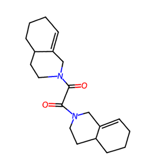 O=C(C(=O)N1CCC2CCCC=C2C1)N1CCC2CCCC=C2C1